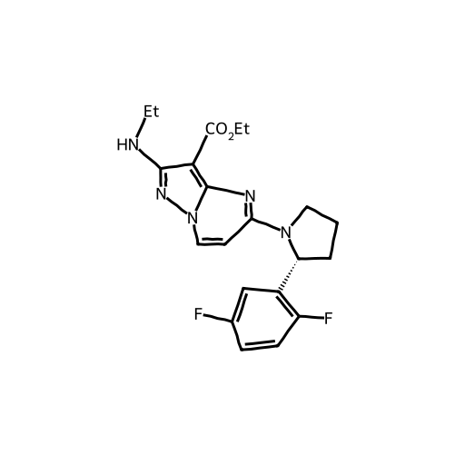 CCNc1nn2ccc(N3CCC[C@@H]3c3cc(F)ccc3F)nc2c1C(=O)OCC